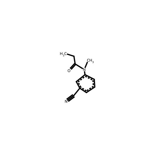 CCC(=O)N(C)c1cccc(C#N)c1